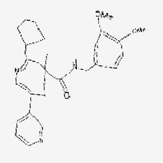 COc1ccc(CNC(=O)C2(C)CC(c3cccnc3)=CN=C2C2CCCC2)cc1OC